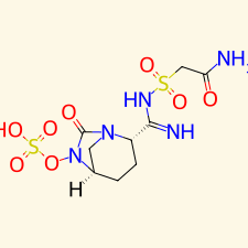 N=C(NS(=O)(=O)CC(N)=O)[C@@H]1CC[C@@H]2CN1C(=O)N2OS(=O)(=O)O